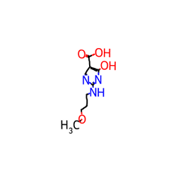 COCCCNc1ncc(C(=O)O)c(O)n1